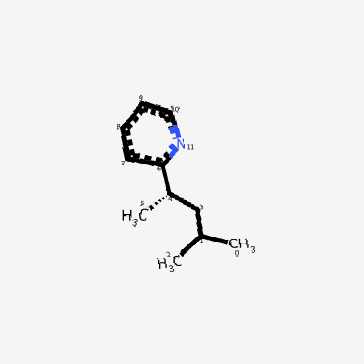 CC(C)C[C@H](C)c1ccccn1